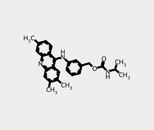 Cc1ccc2c(Nc3cccc(COC(=O)NC(C)C)c3)c3cc(C)c(C)cc3nc2c1